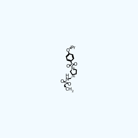 C=CS(=O)(=O)NC[C@H]1CCN(S(=O)(=O)c2ccc(OC(C)C)cc2)C1